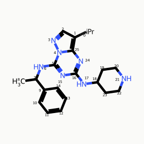 CC(C)c1cnn2c(NC(C)c3ccccc3)nc(NC3CCNCC3)nc12